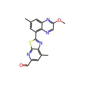 COc1cnc2c(-c3nc4c(C)cc(C=O)nc4s3)cc(C)cc2n1